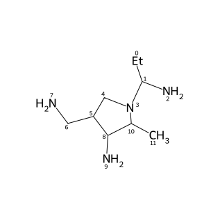 CCC(N)N1CC(CN)C(N)C1C